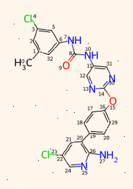 Cc1cc(Cl)cc(NC(=O)Nc2cnc(Oc3ccc(-c4cc(Cl)cnc4N)cc3)nc2)c1